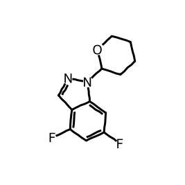 Fc1cc(F)c2cnn(C3CCCCO3)c2c1